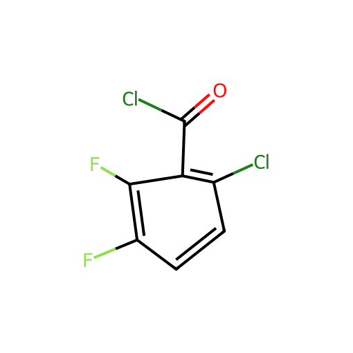 O=C(Cl)c1c(Cl)ccc(F)c1F